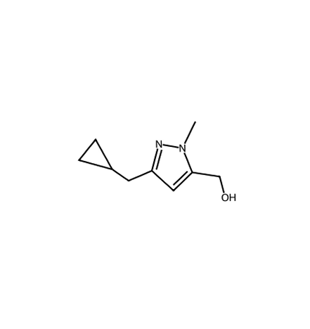 Cn1nc(CC2CC2)cc1CO